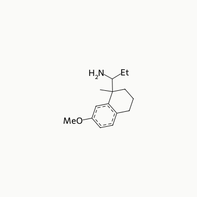 CCC(N)C1(C)CCCc2ccc(OC)cc21